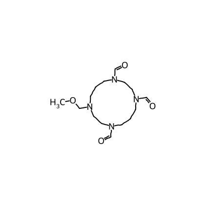 COCN1CCCN(C=O)CCN(C=O)CCCN(C=O)CC1